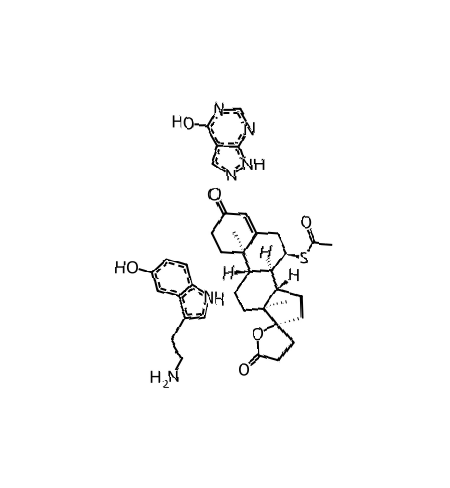 CC(=O)S[C@@H]1CC2=CC(=O)CC[C@]2(C)[C@H]2CC[C@@]3(C)[C@@H](CC[C@@]34CCC(=O)O4)[C@H]12.NCCc1c[nH]c2ccc(O)cc12.Oc1ncnc2[nH]ncc12